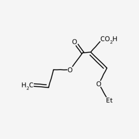 C=CCOC(=O)C(=COCC)C(=O)O